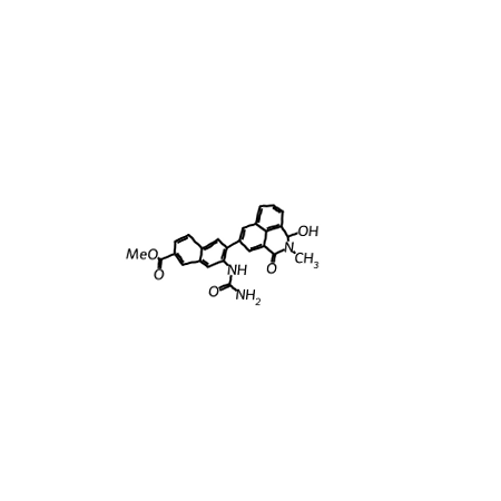 COC(=O)c1ccc2cc(-c3cc4c5c(cccc5c3)C(O)N(C)C4=O)c(NC(N)=O)cc2c1